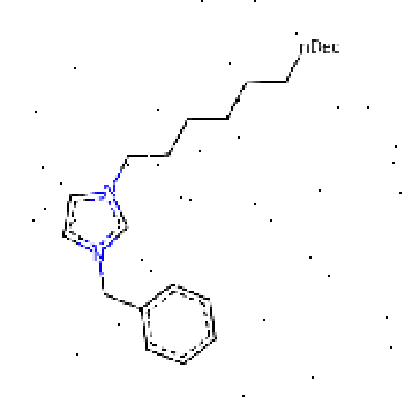 CCCCCCCCCCCCCCCC[n+]1ccn(Cc2ccccc2)c1